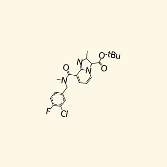 CC1N=C2C(C(=O)N(C)Cc3ccc(F)c(Cl)c3)=CC=CN2C1C(=O)OC(C)(C)C